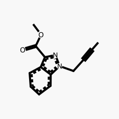 CC#CCn1nc(C(=O)OC)c2ccccc21